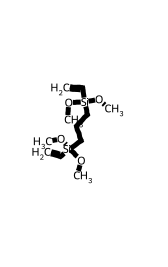 C=C[Si](CCC[Si](C=C)(OC)OC)(OC)OC